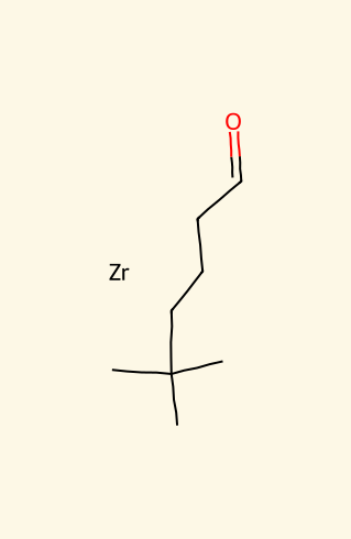 CC(C)(C)CCCC=O.[Zr]